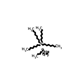 CCCCCCCC[N+](CCCCCCCC)(CCCCCCCC)CCCCCCCC.CCCCS(=O)(=O)NC(F)(F)F